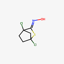 ON=C1SC2(Cl)CCC1(Cl)C2